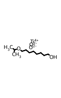 CC(C)OCCCCCCCCO.[O-2].[O-2].[Ti+4]